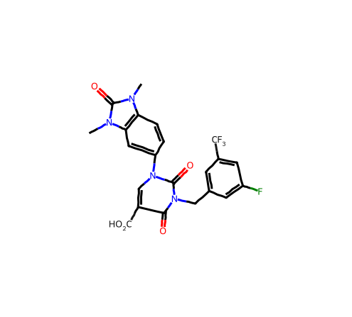 Cn1c(=O)n(C)c2cc(-n3cc(C(=O)O)c(=O)n(Cc4cc(F)cc(C(F)(F)F)c4)c3=O)ccc21